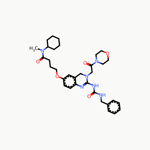 CN(C(=O)CCCOc1ccc2c(c1)CN(CC(=O)N1CCOCC1)C(NC(=O)NCc1ccccc1)=N2)C1CCCCC1